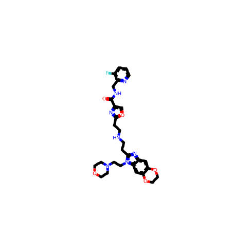 O=C(NCc1ncccc1F)c1coc(CCNCCc2nc3cc4c(cc3n2CCN2CCOCC2)OCCO4)n1